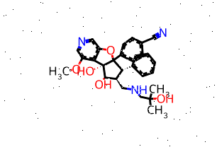 COc1cncc2c1[C@]1(O)[C@H](O)[C@H](CNCC(C)(C)O)[C@@H](c3ccccc3)C1(c1ccc(C#N)cc1)O2